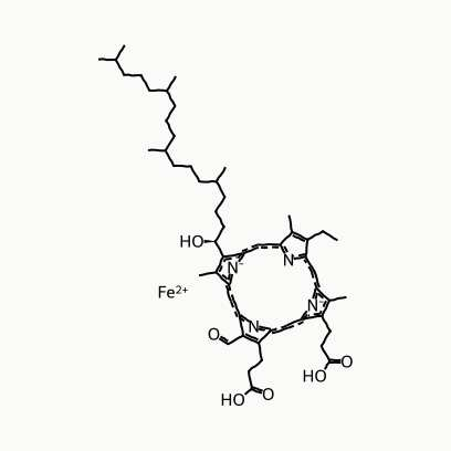 CCC1=C(C)c2cc3[n-]c(cc4nc(cc5[n-]c(cc1n2)c(C)c5CCC(=O)O)C(CCC(=O)O)=C4C=O)c(C)c3[C@@H](O)CCCC(C)CCCC(C)CCCC(C)CCCC(C)C.[Fe+2]